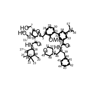 COc1c(CN2O[C@@H](CO)[C@@H]([C@H](C)O)[C@H]2C(=O)N[C@H]2C[C@@H](C)C(C)(C)[C@@H](C)[C@@H]2C)cccc1-c1cc(C(=O)N[C@@H](Cc2ccccc2)CN2CCOCC2)cc(N(C)C)c1